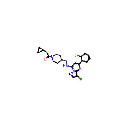 O=C(CC1CC1)N1CCC(CNc2cc(-c3ccccc3Cl)nc3c(Br)cnn23)CC1